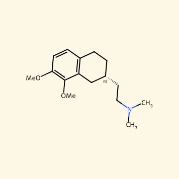 COc1ccc2c(c1OC)C[C@@H](CCN(C)C)CC2